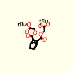 CC(C)(C)OC(=O)COC(=O)C1C2=CCC(C2)C1C(=O)OCC(=O)OC(C)(C)C